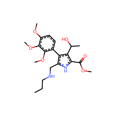 CCCNCc1[nH]c(C(=O)OC)c(C(C)O)c1-c1ccc(OC)c(OC)c1OC